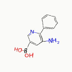 Nc1cc(B(O)O)cnc1-c1ccccc1